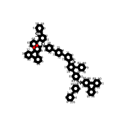 c1ccc(-c2ccc(N(c3ccc(-c4ccc5c(sc6ccc(-c7ccc(-c8ccc(N(c9ccc%10c%11ccccc%11c%11ccccc%11c%10c9)c9ccc%10c(sc%11ccccc%11%10)c9-c9ccccc9)cc8)cc7)cc65)c4-c4ccccc4)cc3)c3ccc4c5ccccc5c5ccccc5c4c3)cc2)cc1